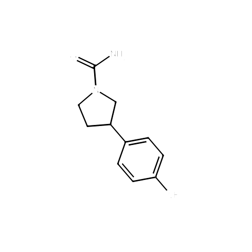 NC(=O)N1C[CH]C(c2ccc(C(F)(F)F)cc2)C1